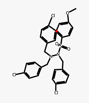 COc1ccc(S(=O)(=O)N(Cc2ccc(Cl)cc2)N(Cc2ccc(Cl)cc2)Cc2ccc(Cl)cc2)cc1